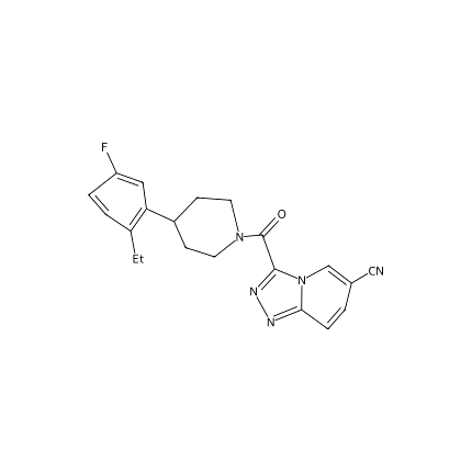 CCc1ccc(F)cc1C1CCN(C(=O)c2nnc3ccc(C#N)cn23)CC1